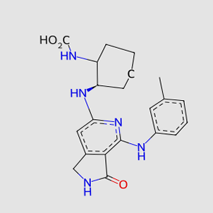 Cc1cccc(Nc2nc(N[C@@H]3CCCCC3NC(=O)O)cc3c2C(=O)NC3)c1